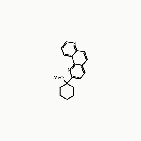 COC1(c2ccc3ccc4ncccc4c3n2)CCCCC1